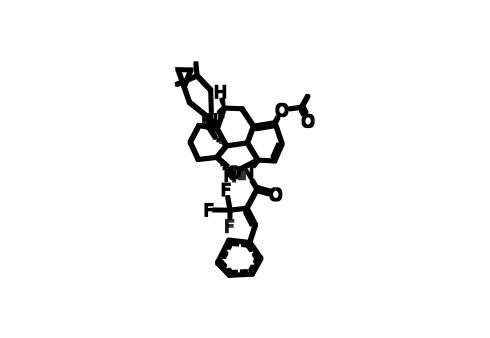 CC(=O)OC1=C2C[C@@H]3[C@@H]4CCC[C@@H]5OC(NC(=O)C(=Cc6ccccc6)C(F)(F)F)(C=C1)C2[C@@]54CC[N+]3(CC(C)C)CC1CC1